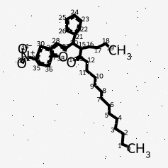 CCCCCCCCCCCCCC(=O)C(CCCC)C(c1ccccc1)c1cc2cc([N+](=O)[O-])ccc2o1